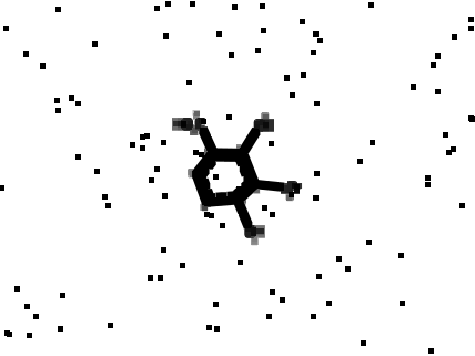 CCCc1c(O)ccc(C(=O)O)c1O